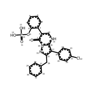 O=c1c(-c2ccccc2OP(=O)(O)O)c[nH]c2c(-c3ccc(Cl)cc3)c(Cc3ccccc3)nn12